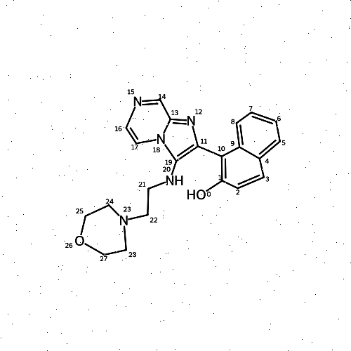 Oc1ccc2ccccc2c1-c1nc2cnccn2c1NCCN1CCOCC1